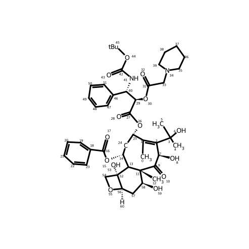 C/C1=C(/C(C)(C)O)[C@@H](O)C(=O)[C@@]2(C)C([C@H](OC(=O)c3ccccc3)C[C@@H]1OC(=O)[C@H](OC(=O)CN1CCCCC1)[C@@H](NC(=O)OC(C)(C)C)c1ccccc1)[C@]1(O)CO[C@@H]1C[C@@H]2O